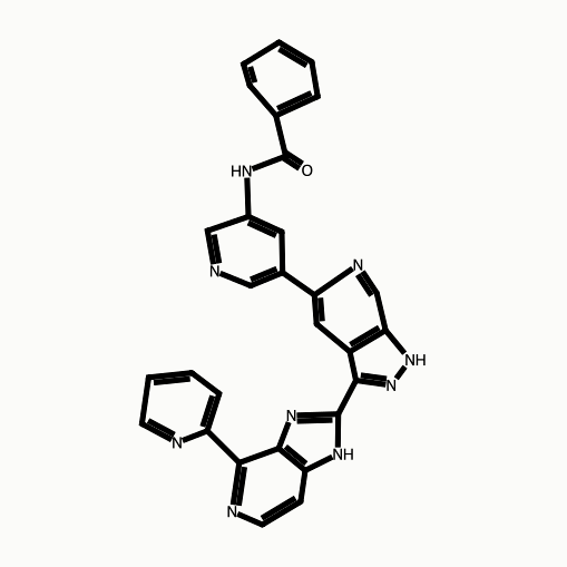 O=C(Nc1cncc(-c2cc3c(-c4nc5c(-c6ccccn6)nccc5[nH]4)n[nH]c3cn2)c1)c1ccccc1